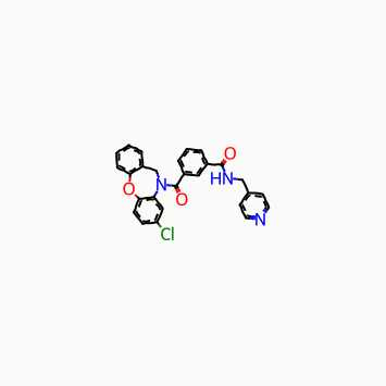 O=C(NCc1ccncc1)c1cccc(C(=O)N2Cc3ccccc3Oc3ccc(Cl)cc32)c1